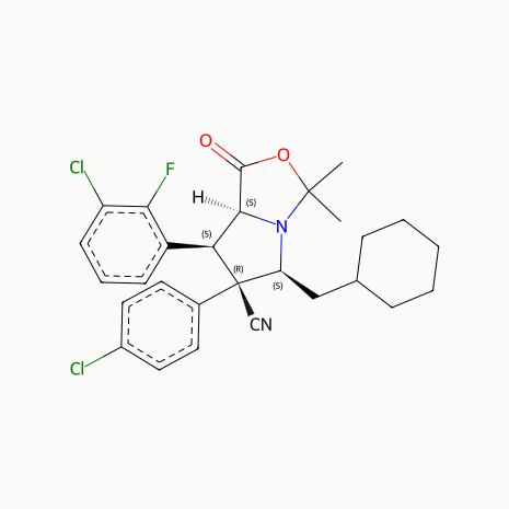 CC1(C)OC(=O)[C@@H]2[C@H](c3cccc(Cl)c3F)[C@@](C#N)(c3ccc(Cl)cc3)[C@H](CC3CCCCC3)N21